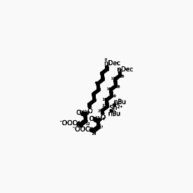 CCCCCCCCCCCCCCCCCCOC(=O)/C=C\C(=O)[O-].CCCCCCCCCCCCCCCCCCOC(=O)/C=C\C(=O)[O-].CCC[CH2][Sn+2][CH2]CCC